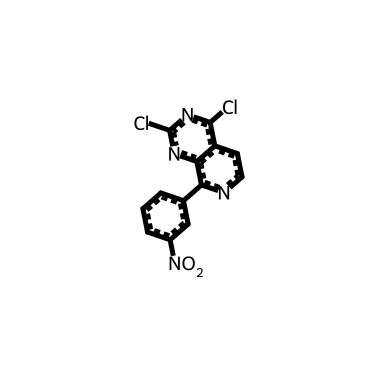 O=[N+]([O-])c1cccc(-c2nccc3c(Cl)nc(Cl)nc23)c1